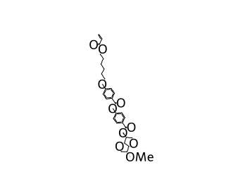 C=CC(=O)OCCCCCCOc1ccc(C(=O)Oc2ccc(C(=O)O[C@H]3COC4C3OC[C@H]4OC)cc2)cc1